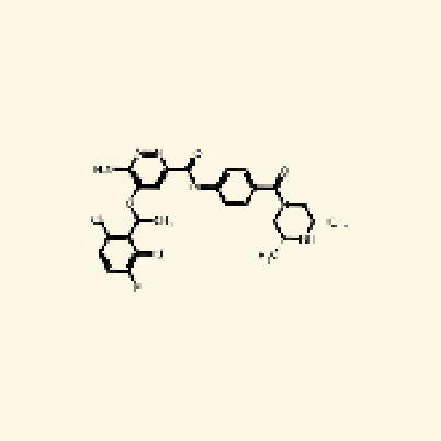 CC(Oc1cc(C(=O)Nc2ccc(C(=O)N3C[C@@H](C)N[C@@H](C)C3)cc2)nnc1N)c1c(Cl)ccc(F)c1Cl